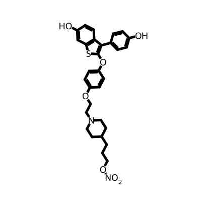 O=[N+]([O-])OCCCC1CCN(CCOc2ccc(Oc3sc4cc(O)ccc4c3-c3ccc(O)cc3)cc2)CC1